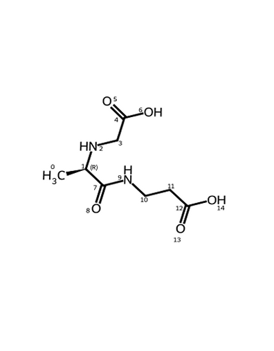 C[C@@H](NCC(=O)O)C(=O)NCCC(=O)O